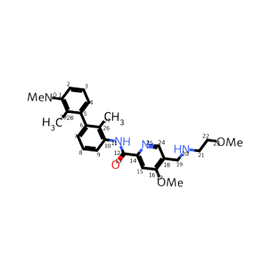 CNc1cccc(-c2cccc(NC(=O)c3cc(OC)c(CNCCOC)cn3)c2C)c1C